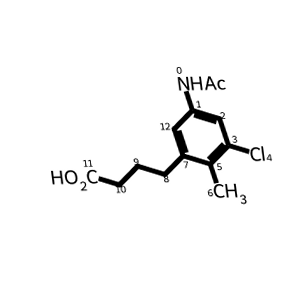 CC(=O)Nc1cc(Cl)c(C)c(CCCC(=O)O)c1